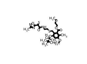 COCCOC(=O)c1c(C)c(OC)cc(O[Si](C)(C)C(C)(C)C)c1CSCCNC(=O)C(=S)c1nc(C)no1